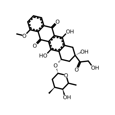 COc1cccc2c1C(=O)c1c(O)c3c(c(O)c1C2=O)C[C@@](O)(C(=O)CO)C[C@@H]3O[C@H]1C[C@H](C)[C@H](O)C(C)O1